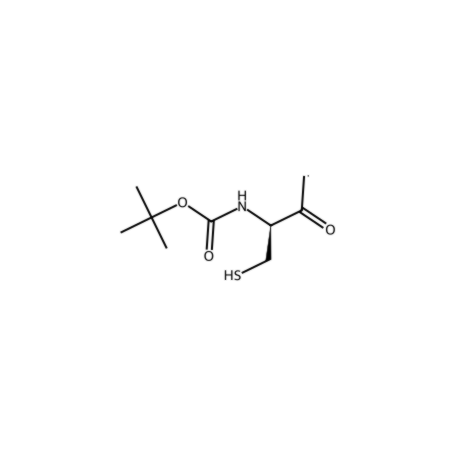 [CH2]C(=O)[C@@H](CS)NC(=O)OC(C)(C)C